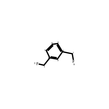 FCc1[c]ccc(CF)c1